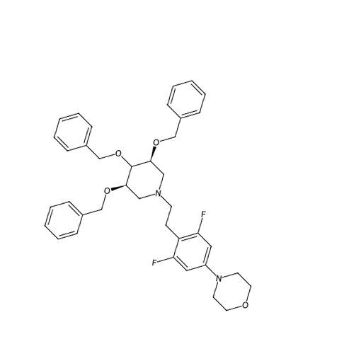 Fc1cc(N2CCOCC2)cc(F)c1CCN1C[C@H](OCc2ccccc2)C(OCc2ccccc2)[C@H](OCc2ccccc2)C1